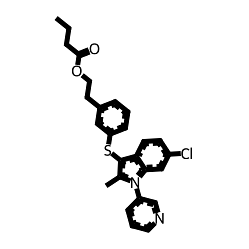 CCCC(=O)OCCc1cccc(Sc2c(C)n(-c3cccnc3)c3cc(Cl)ccc23)c1